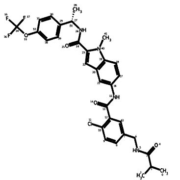 CC(C)C(=O)NCc1ccc(Cl)c(C(=O)Nc2ccc3c(c2)cc(C(=O)N[C@@H](C)c2ccc(OC(F)(F)F)cc2)n3C)c1